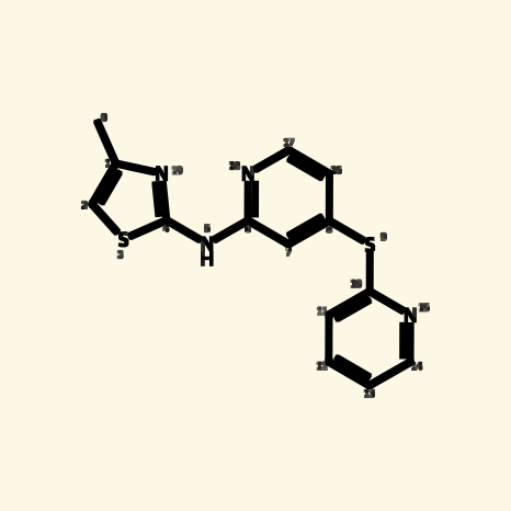 Cc1csc(Nc2cc(Sc3ccccn3)ccn2)n1